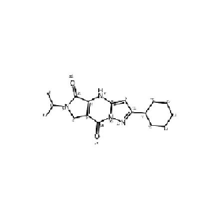 CC(C)N1Cc2c([nH]c3cc(C4CCCCC4)nn3c2=O)C1=O